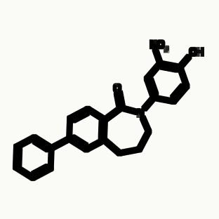 O=C1c2ccc(-c3ccccc3)cc2CCCN1c1ccc(O)c([N+](=O)[O-])c1